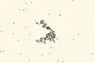 CN(C)CCNC(=O)COc1ccc(CCC[N+]2(CCCc3ccc(OCC(=O)NCCN(C)C)cc3)CCCC(NC(=O)c3nc(Cl)c(N)nc3N)C2)cc1